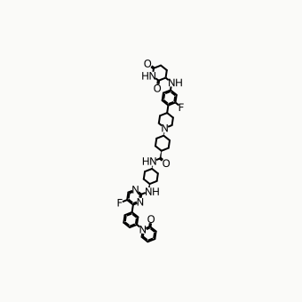 O=C1CCC(Nc2ccc(C3CCN([C@H]4CC[C@H](C(=O)N[C@H]5CC[C@H](Nc6ncc(F)c(-c7cccc(-n8ccccc8=O)c7)n6)CC5)CC4)CC3)c(F)c2)C(=O)N1